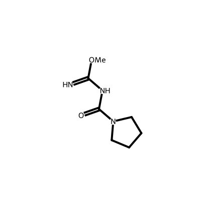 COC(=N)NC(=O)N1CCCC1